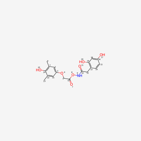 Cc1cc(OCC(=O)ONC(=O)Cc2ccc(O)cc2O)cc(C)c1O